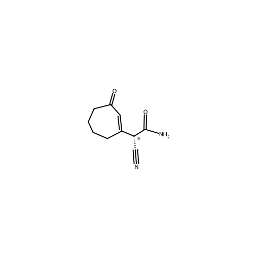 N#C[C@@H](C(N)=O)C1=CC(=O)CCCC1